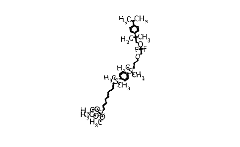 CO[Si](CCCCCCCC[Si](C)(C)c1ccc([Si](C)(C)CCCOCC(F)(F)OCC(C)(C)c2ccc(C(C)C)cc2)cc1)(OC)OC